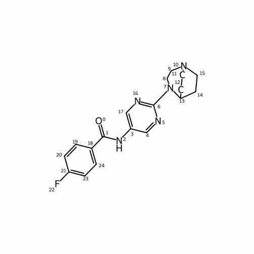 O=C(Nc1cnc(N2CCN3CCC2CC3)nc1)c1ccc(F)cc1